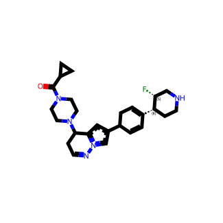 O=C(C1CC1)N1CCN(C2CC=Nn3cc(C4C=CC([C@H]5CCNC[C@H]5F)=CC4)cc32)CC1